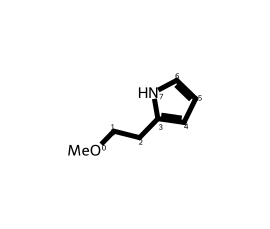 CO[CH]Cc1ccc[nH]1